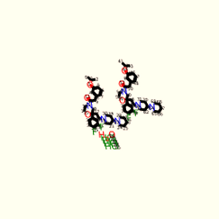 CC(C)Oc1cccc(CC(=O)N2CCOC(CCN3CCC(N4CCCCC4)CC3)(c3ccc(F)c(F)c3)C2)c1.CC(C)Oc1cccc(CC(=O)N2CCOC(CCN3CCC(N4CCCCC4)CC3)(c3ccc(F)c(F)c3)C2)c1.Cl.Cl.Cl.Cl.O